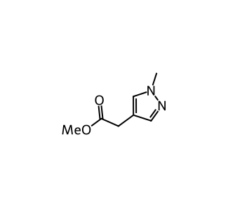 COC(=O)Cc1cnn(C)c1